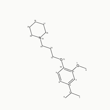 COc1cc(C(C)C)ccc1OCCCN1CCCCC1